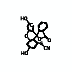 N#CSc1cc(O)cc2c1C1(OC(=O)c3ccccc31)c1ccc(O)cc1O2